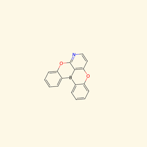 c1ccc2c(c1)Oc1ccnc3c1B2c1ccccc1O3